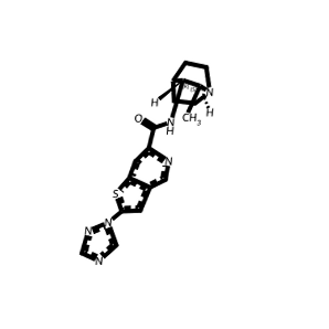 C[C@H]1[C@H](NC(=O)c2cc3sc(-n4cncn4)cc3cn2)C2CCN1CC2